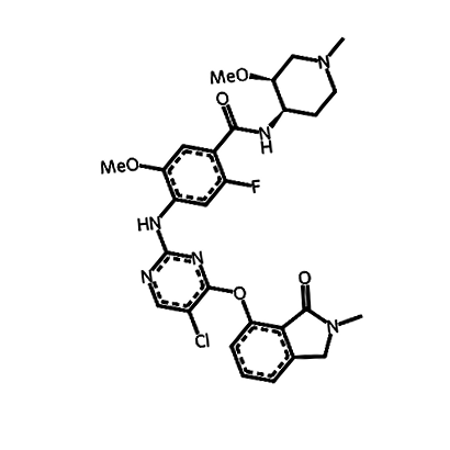 COc1cc(C(=O)N[C@@H]2CCN(C)C[C@@H]2OC)c(F)cc1Nc1ncc(Cl)c(Oc2cccc3c2C(=O)N(C)C3)n1